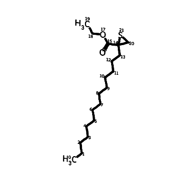 CCCCCCCCCCCCCCC1(C(=O)OCC)CS1